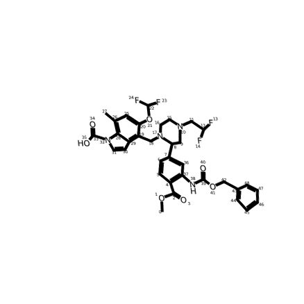 COC(=O)c1ccc(C2CN(CC(F)F)CCN2Cc2c(OC(F)F)cc(C)c3c2ccn3C(=O)O)cc1NC(=O)OCc1ccccc1